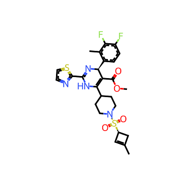 COC(=O)C1=C(C2CCN(S(=O)(=O)[C@@H]3C=C(C)C3)CC2)NC(c2nccs2)=N[C@H]1c1ccc(F)c(F)c1C